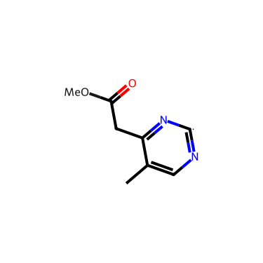 COC(=O)Cc1n[c]ncc1C